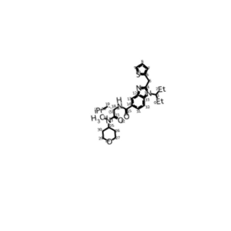 CCC(CC)n1c(Cc2cccs2)nc2cc(C(=O)N[C@@H](CC(C)C)C(=O)N(C)C3CCOCC3)ccc21